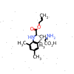 C=CCOC(=O)[C@H](C)Nc1c(C)cc(C)cc1C.NCC(=O)O